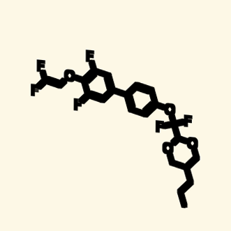 CCCC1COC(C(F)(F)Oc2ccc(-c3cc(F)c(OC=C(F)F)c(F)c3)cc2)OC1